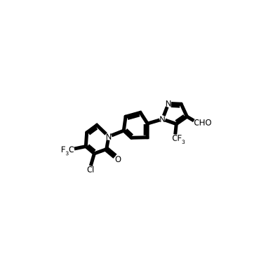 O=Cc1cnn(-c2ccc(-n3ccc(C(F)(F)F)c(Cl)c3=O)cc2)c1C(F)(F)F